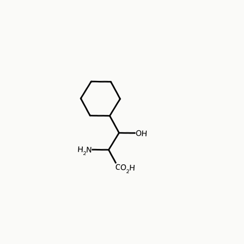 NC(C(=O)O)C(O)C1CCCCC1